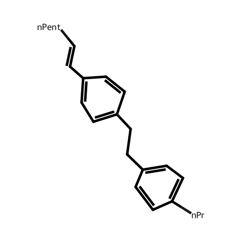 CCCCCC=Cc1ccc(CCc2ccc(CCC)cc2)cc1